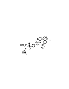 C[C@@H]1CCN(C(=O)CC#N)C[C@@H]1N(C)c1ncnc2c1ccn2C(=O)Nc1ccc(C(=O)NC(CCCCN)C(=O)O)cc1